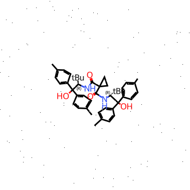 Cc1ccc(C(O)(c2ccc(C)cc2)[C@H](NC(=O)C2(C(=O)N[C@H](C(C)(C)C)C(O)(c3ccc(C)cc3)c3ccc(C)cc3)CC2)C(C)(C)C)cc1